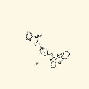 O=C(C[N+]12CCC(CC1)C(OC(=O)C1(O)c3ccccc3Oc3ccccc31)C2)Nc1cnccn1.[Br-]